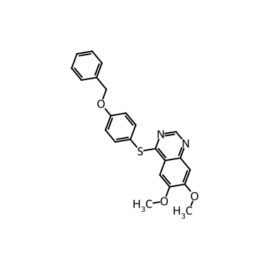 COc1cc2ncnc(Sc3ccc(OCc4ccccc4)cc3)c2cc1OC